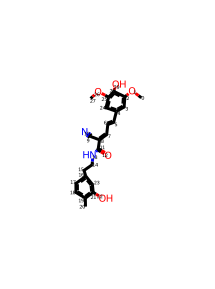 COc1cc(/C=C/C=C(\C#N)C(=O)NCCc2ccc(C)c(O)c2)cc(OC)c1O